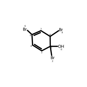 OC1(Br)C=CC(Br)=CC1Br